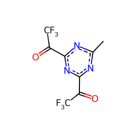 Cc1nc(C(=O)C(F)(F)F)nc(C(=O)C(F)(F)F)n1